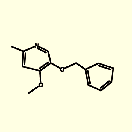 COc1cc(C)ncc1OCc1ccccc1